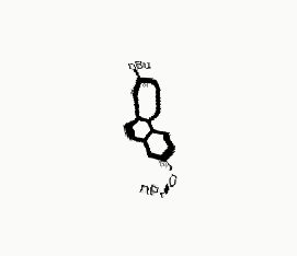 CCCC[C@H]1CCC2C(CCC3C[C@@H](OCCC)CCC32)C1